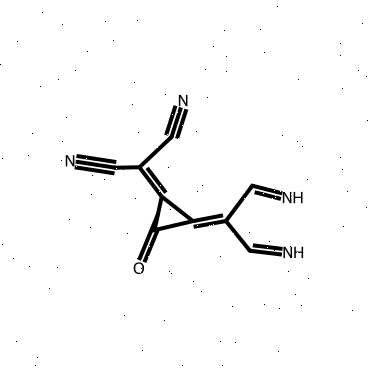 N#CC(C#N)=c1c(=O)c1=C(C=N)C=N